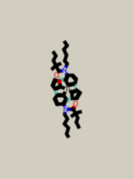 CCCCCCN(C(=O)C(C)(C)CCC)c1ccc(F)[c]([Ti]([C]2=CC=CC2)([C]2=CC=CC2)[c]2c(F)ccc(N(CCCCCC)C(=O)C(C)(C)CCC)c2F)c1F